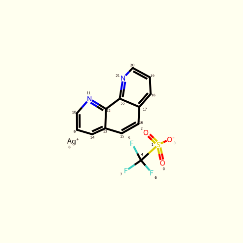 O=S(=O)([O-])C(F)(F)F.[Ag+].c1cnc2c(c1)ccc1cccnc12